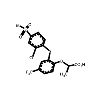 CCS(=O)(=O)c1ccc(Sc2cc(C(F)(F)F)ccc2OC(C)C(=O)O)c(Cl)c1